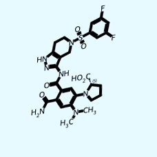 CN(C)c1cc(C(N)=O)c(C(=O)Nc2n[nH]c3c2CN(S(=O)(=O)c2cc(F)cc(F)c2)CC3)cc1N1CCC[C@H]1C(=O)O